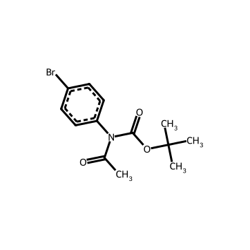 CC(=O)N(C(=O)OC(C)(C)C)c1ccc(Br)cc1